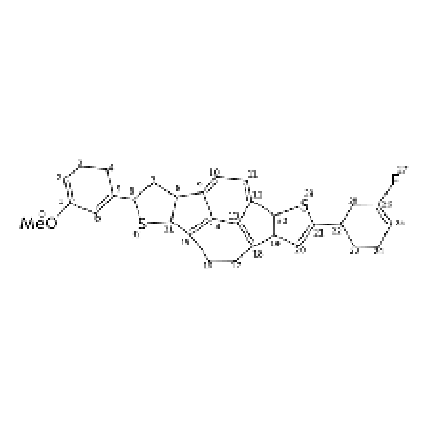 COC1=CCCC(C2CC3c4ccc5c6c4=C(CCC=6C4C=C(C6CCC=C(F)C6)SC54)C3S2)=C1